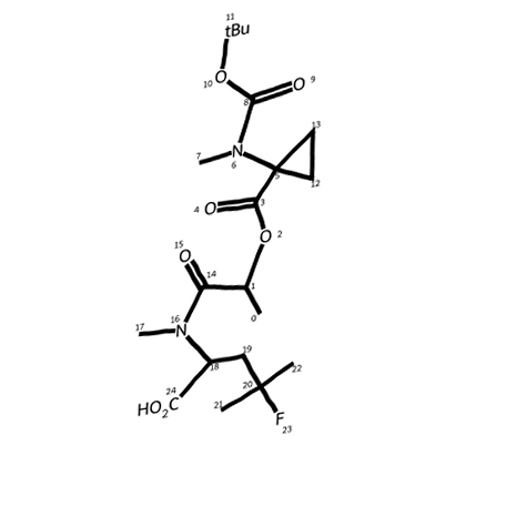 CC(OC(=O)C1(N(C)C(=O)OC(C)(C)C)CC1)C(=O)N(C)C(CC(C)(C)F)C(=O)O